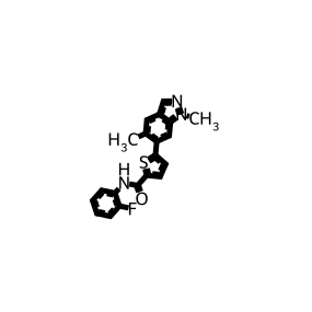 Cc1cc2cnn(C)c2cc1-c1ccc(C(=O)Nc2ccccc2F)s1